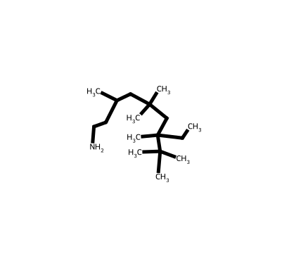 CCC(C)(CC(C)(C)CC(C)CCN)C(C)(C)C